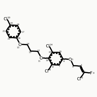 FC(Cl)=CCOc1cc(Cl)c(OCCCOc2ccc(Cl)cc2)c(Cl)c1